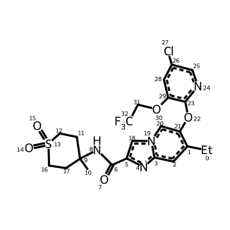 CCc1cc2nc(C(=O)NC3(C)CCS(=O)(=O)CC3)cn2cc1Oc1ncc(Cl)cc1OCC(F)(F)F